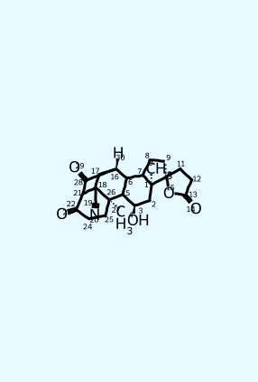 C[C@]12C[C@@H](O)C3C(C1CC[C@@]21CCC(=O)O1)[C@H]1CC2(C#N)C(C(=O)CC[C@]32C)C1=O